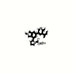 C/C=C(/C)c1cc(-c2cc3c(c(C4CCCN4C(=O)OC(C)(C)C)c2)CN(C)C3)cnc1C